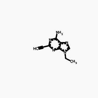 C#Cc1nc(N)c2ncn(CC)c2n1